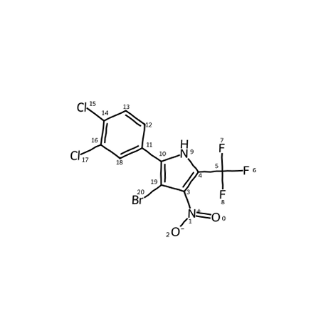 O=[N+]([O-])c1c(C(F)(F)F)[nH]c(-c2ccc(Cl)c(Cl)c2)c1Br